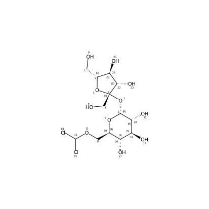 OC[C@H]1O[C@@](CO)(O[C@H]2O[C@H](COC(Cl)Cl)[C@@H](O)[C@H](O)[C@H]2O)[C@@H](O)[C@@H]1O